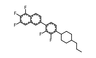 CCCC1CCC(c2ccc(-c3ccc4c(F)c(F)c(F)cc4c3)c(F)c2F)CC1